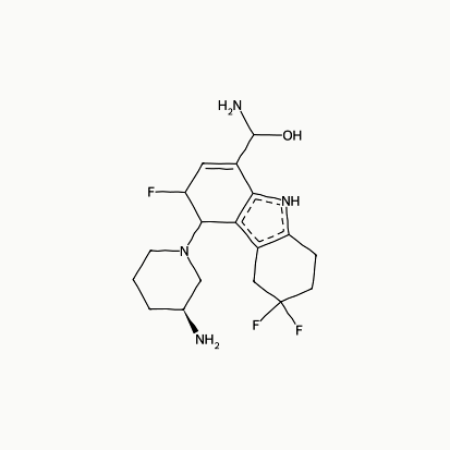 NC(O)C1=CC(F)C(N2CCC[C@H](N)C2)c2c1[nH]c1c2CC(F)(F)CC1